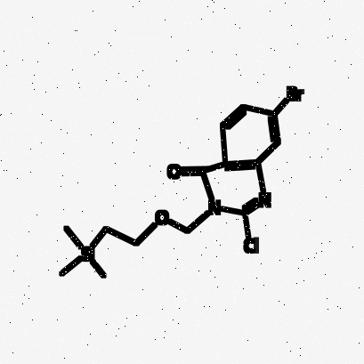 C[Si](C)(C)CCOCn1c(Cl)nc2cc(Br)ccc2c1=O